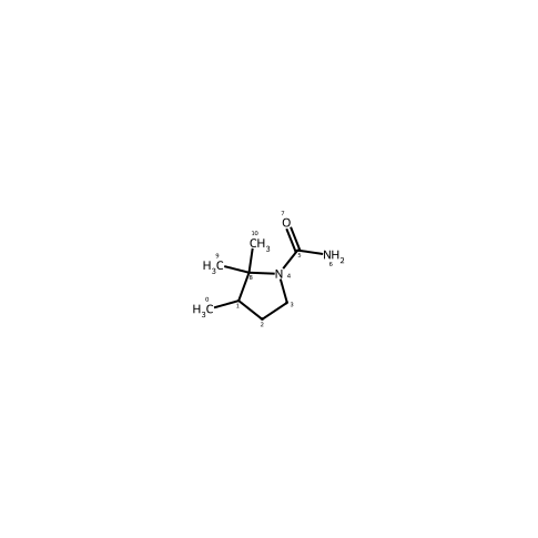 CC1CCN(C(N)=O)C1(C)C